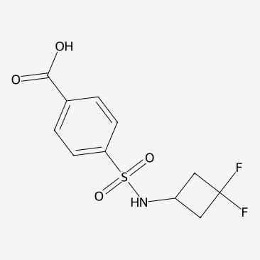 O=C(O)c1ccc(S(=O)(=O)NC2CC(F)(F)C2)cc1